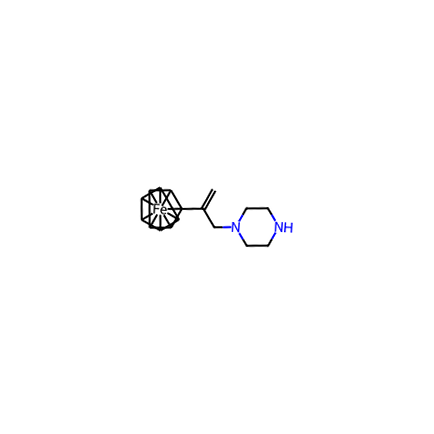 C=C(CN1CCNCC1)[C]12[CH]3[CH]4[CH]5[CH]1[Fe]45321678[CH]2[CH]1[CH]6[CH]7[CH]28